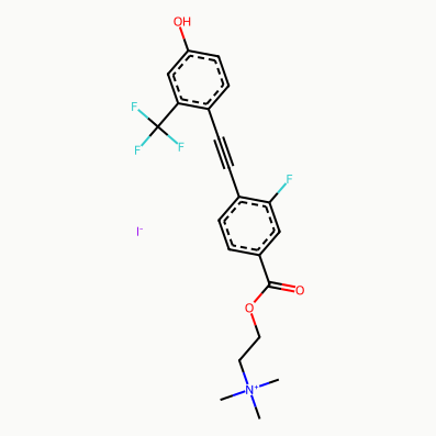 C[N+](C)(C)CCOC(=O)c1ccc(C#Cc2ccc(O)cc2C(F)(F)F)c(F)c1.[I-]